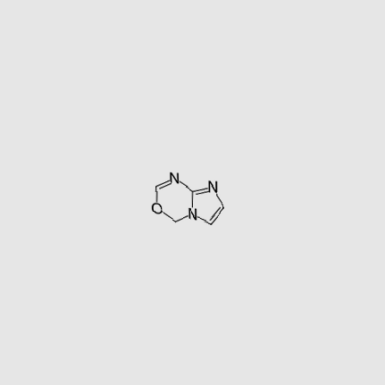 C1=Nc2nccn2CO1